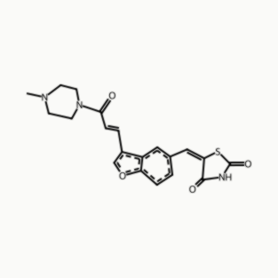 CN1CCN(C(=O)/C=C/c2coc3ccc(/C=C4/SC(=O)NC4=O)cc23)CC1